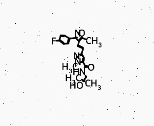 Cc1onc(-c2ccc(F)cc2)c1/C=C/c1cc(C(=O)NCC(C)(C)O)n(C)n1